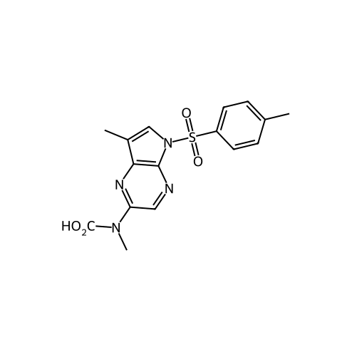 Cc1ccc(S(=O)(=O)n2cc(C)c3nc(N(C)C(=O)O)cnc32)cc1